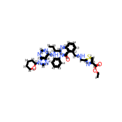 CCOC(=O)c1csc(CNCc2cccc3nc(C(CC)Nc4ncnc5c4ncn5C4CCCCO4)n(-c4ccccc4)c(=O)c23)n1